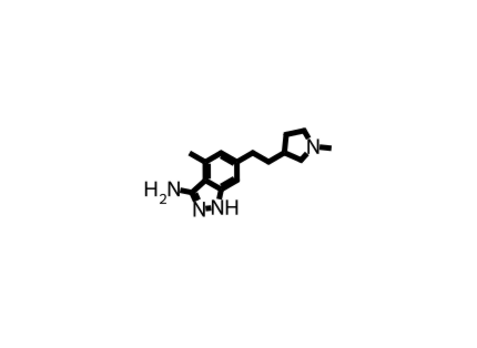 Cc1cc(CCC2CCN(C)C2)cc2[nH]nc(N)c12